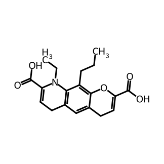 CCCc1c2c(cc3c1N(CC)C(C(=O)O)=CC3)CC=C(C(=O)O)O2